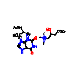 CC(=O)NC(C(=O)O)C(C)C.C[N+](C)(C)CC(O)CC(=O)[O-].O=c1[nH]c(=O)c2[nH]cnc2[nH]1